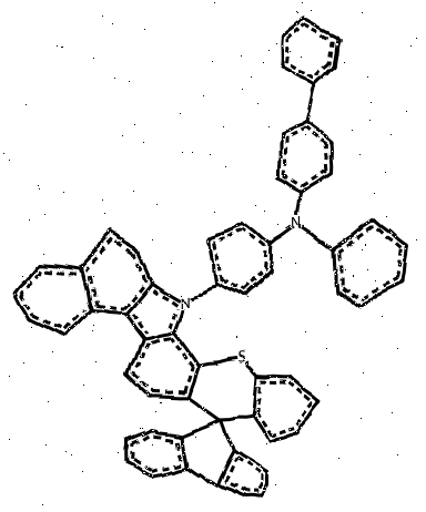 c1ccc(-c2ccc(N(c3ccccc3)c3ccc(-n4c5ccc6ccccc6c5c5ccc6c(c54)Sc4ccccc4C64c5ccccc5-c5ccccc54)cc3)cc2)cc1